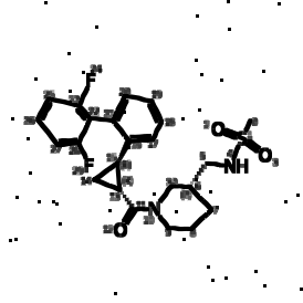 CS(=O)(=O)NC[C@@H]1CCCN(C(=O)[C@@H]2C[C@H]2c2ccccc2-c2c(F)cccc2F)C1